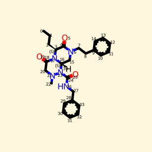 CCC[C@H]1C(=O)N(CCc2ccccc2)C[C@H]2N1C(=O)CN(C)N2C(=O)NCc1ccccc1